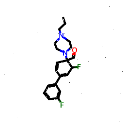 CCCN1CCN(C2(C=O)C=CC(c3cccc(F)c3)=CC2F)CC1